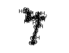 CC[C@@]1(O)C(=O)OCc2c1cc1n(c2=O)Cc2c-1nc1cc(F)c(C)c3c1c2[C@@H](NC(=O)COCN(CC(N)=O)C(=O)[C@H](Cc1ccccc1)NC(=O)CNC(=O)CNC(=O)CCOCCOCCNC(=O)CCN1C(=O)C=CC1=O)CC3